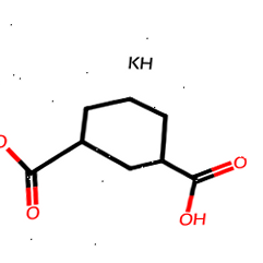 O=C(O)C1CCCC(C(=O)O)C1.[KH]